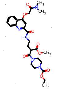 CCOC(=O)N1CCN(C(=O)C(CCNC(=O)c2cc(OCC(=O)N(C)C)c3ccccc3n2)C(=O)OC)CC1